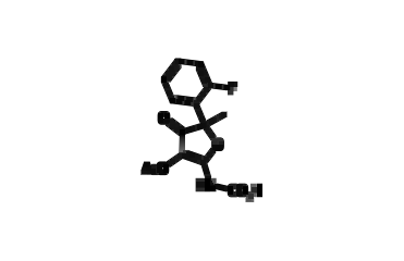 CC(=O)OC1=C(NC(=O)O)OC(C)(c2ccccc2F)C1=O